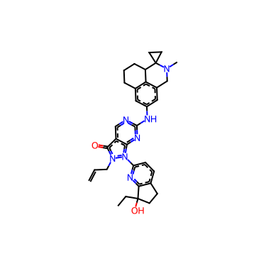 C=CCn1c(=O)c2cnc(Nc3cc4c5c(c3)CN(C)C3(CC3)C5CCC4)nc2n1-c1ccc2c(n1)C(O)(CC)CC2